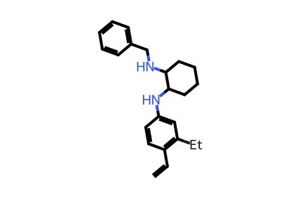 C=Cc1ccc(NC2CCCCC2NCc2ccccc2)cc1CC